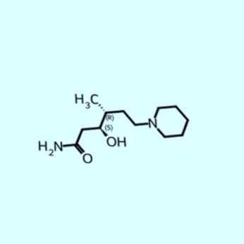 C[C@H](CCN1CCCCC1)[C@@H](O)CC(N)=O